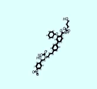 O=C(NS(=O)(=O)CCCO)c1ccc(-c2ccc(CCCN(C[C@@H](O)c3ccc([N+](=O)[O-])cc3)C(=O)O)cc2)cc1OC1CCCCC1